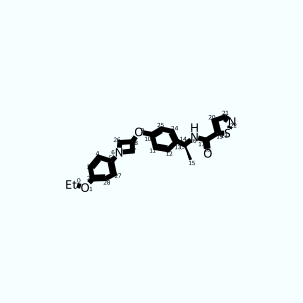 CCOc1ccc(N2CC(Oc3ccc([C@H](C)NC(=O)c4ccns4)cc3)C2)cc1